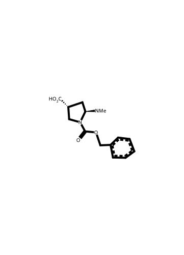 CN[C@@H]1C[C@@H](C(=O)O)CN1C(=O)OCc1ccccc1